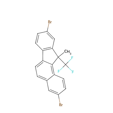 CC1(C(F)(F)F)c2cc(Br)ccc2-c2ccc3cc(Br)ccc3c21